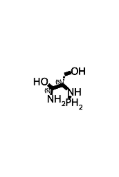 N[C@@H](O)[C@H](CO)NP